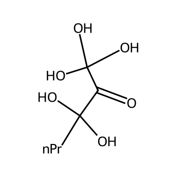 CCCC(O)(O)C(=O)C(O)(O)O